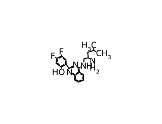 CC(C)CC(N)CNc1nc(-c2cc(F)c(F)cc2O)nc2ccccc12